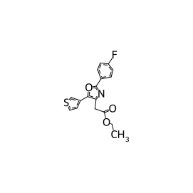 CCOC(=O)Cc1nc(-c2ccc(F)cc2)oc1-c1ccsc1